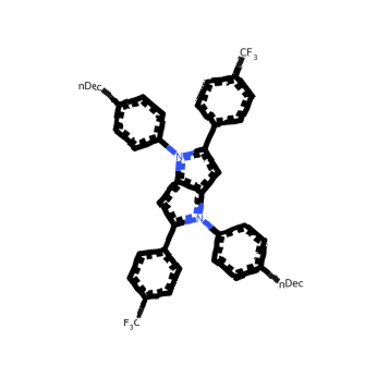 CCCCCCCCCCc1ccc(-n2c(-c3ccc(C(F)(F)F)cc3)cc3c2cc(-c2ccc(C(F)(F)F)cc2)n3-c2ccc(CCCCCCCCCC)cc2)cc1